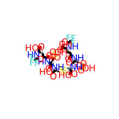 O=C(CC[C@H](NC(=O)C(F)(F)F)C(=O)O)N[C@@H](COS(=O)(=O)O)C(=O)N[C@@H](CSSC[C@H](NC(=O)[C@H](COS(=O)(=O)O)NC(=O)CC[C@H](NC(=O)C(F)(F)F)C(=O)O)C(=O)O)C(=O)O